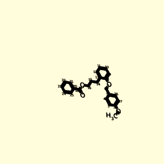 COc1ccc(COc2ccccc2CCCOC(=O)c2ccccc2)cc1